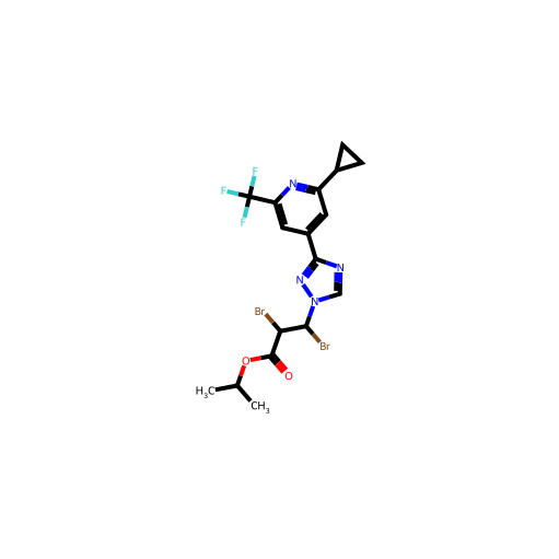 CC(C)OC(=O)C(Br)C(Br)n1cnc(-c2cc(C3CC3)nc(C(F)(F)F)c2)n1